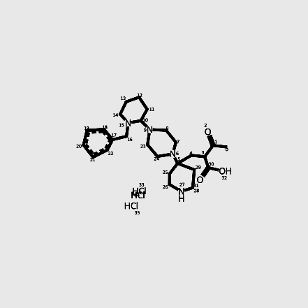 CC(=O)C(CC1(N2CCN(C3CCCCN3Cc3ccccc3)CC2)CCNCC1)C(=O)O.Cl.Cl.Cl